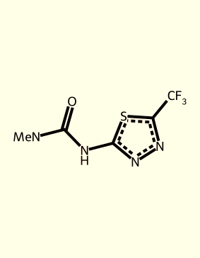 CNC(=O)Nc1nnc(C(F)(F)F)s1